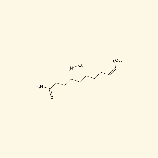 CCCCCCCC/C=C\CCCCCCCC(N)=O.CCN